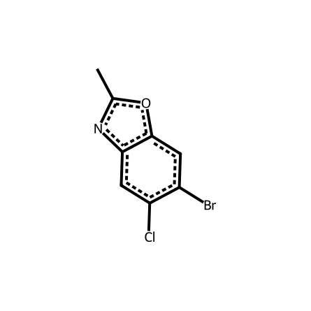 Cc1nc2cc(Cl)c(Br)cc2o1